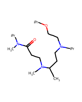 CC(C)OCCN(CCC(C)N(C)CCC(=O)N(C)C(C)C)C(C)C